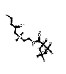 CCCC(=O)C[N+](C)(C)CCOC(=O)C(C)(CC(C)(C)C)C(C)(C)C